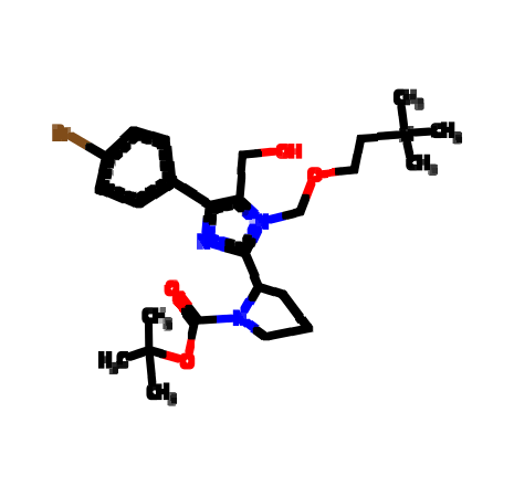 CC(C)(C)OC(=O)N1CCCC1c1nc(-c2ccc(Br)cc2)c(CO)n1COCC[Si](C)(C)C